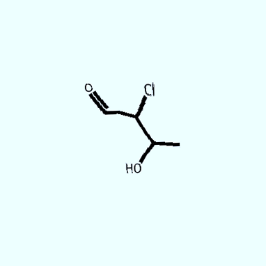 CC(O)C(Cl)C=O